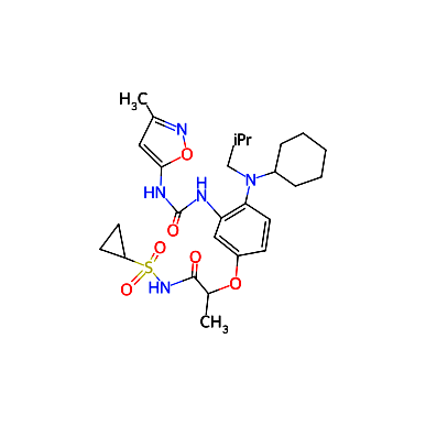 Cc1cc(NC(=O)Nc2cc(OC(C)C(=O)NS(=O)(=O)C3CC3)ccc2N(CC(C)C)C2CCCCC2)on1